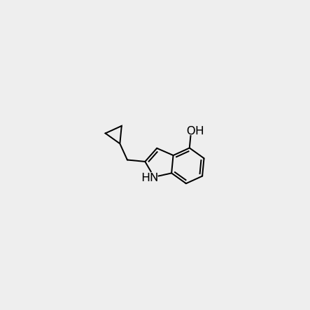 Oc1cccc2[nH]c(CC3CC3)cc12